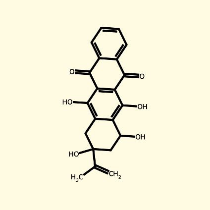 C=C(C)C1(O)Cc2c(O)c3c(c(O)c2C(O)C1)C(=O)c1ccccc1C3=O